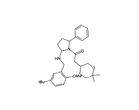 COc1ccc(C(C)(C)C)cc1CNC1CCC(c2ccccc2)N1C(=O)CC1CCC(C)(C)OC1